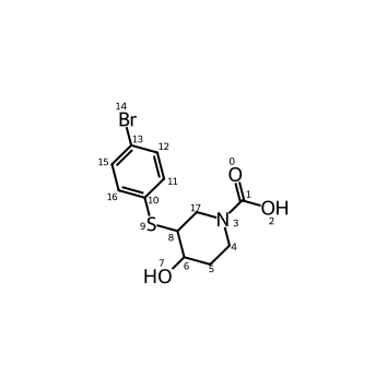 O=C(O)N1CCC(O)C(Sc2ccc(Br)cc2)C1